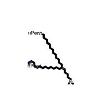 CCCCCC=CCC=CCCCCCCCC/C(=C/CCCCN(C)C)CCCCCCCC/C=C\C/C=C\CCCCC